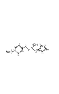 CSc1ccc(CCC(O)Cn2ccnc2)cc1